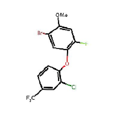 COc1cc(F)c(Oc2ccc(C(F)(F)F)cc2Cl)cc1Br